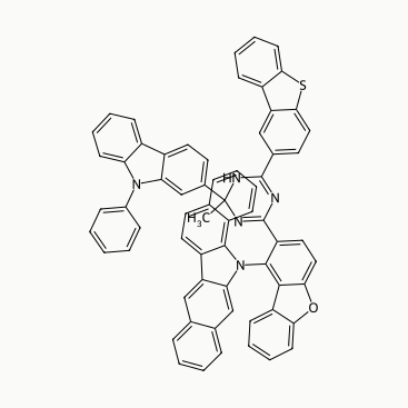 CC1(c2ccc3c4ccccc4n(-c4ccccc4)c3c2)N=C(c2ccc3oc4ccccc4c3c2-n2c3cc4ccccc4cc3c3ccc4ccccc4c32)N=C(c2ccc3sc4ccccc4c3c2)N1